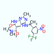 Cc1nc(N[C@H](C)c2cc([N+](=O)[O-])cc(C(F)(F)F)c2)c2cc(C(=O)N(C)C)c(=O)[nH]c2n1